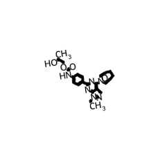 CCn1ncc2c(N3CC4CCC(C3)O4)nc(-c3ccc(NC(=O)OCC(C)O)cc3)nc21